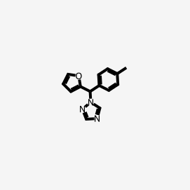 Cc1ccc(C(c2ccco2)n2cncn2)cc1